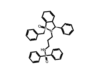 O=P(NCCCN1[C@H](c2ccccc2)C2C=CCC=C2[P@]1(=O)Cc1ccccc1)(c1ccccc1)c1ccccc1